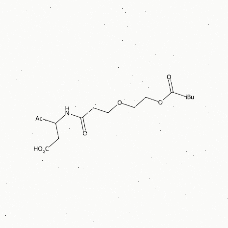 CCC(C)C(=O)OCCOCCC(=O)NC(CC(=O)O)C(C)=O